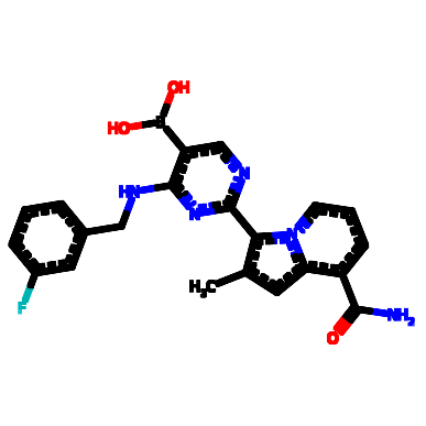 Cc1cc2c(C(N)=O)cccn2c1-c1ncc(B(O)O)c(NCc2cccc(F)c2)n1